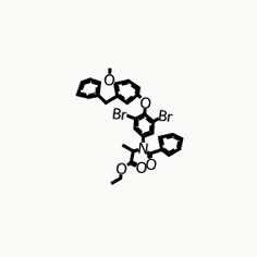 CCOC(=O)C(C)N(C(=O)c1ccccc1)c1cc(Br)c(Oc2ccc(OC)c(Cc3ccccc3)c2)c(Br)c1